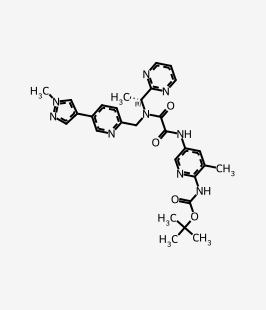 Cc1cc(NC(=O)C(=O)N(Cc2ccc(-c3cnn(C)c3)cn2)[C@H](C)c2ncccn2)cnc1NC(=O)OC(C)(C)C